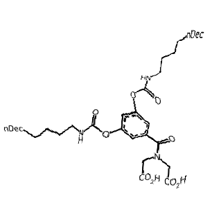 CCCCCCCCCCCCCCNC(=O)Oc1cc(OC(=O)NCCCCCCCCCCCCCC)cc(C(=O)N(CC(=O)O)CC(=O)O)c1